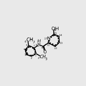 Cc1cccc(C)c1NC(=O)c1cccc(O)n1